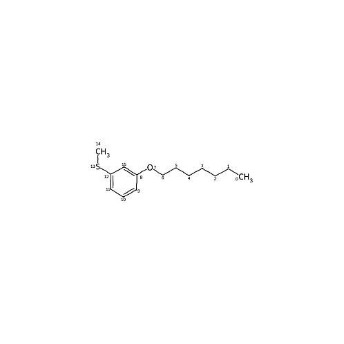 CCCCCCCOc1cccc(SC)c1